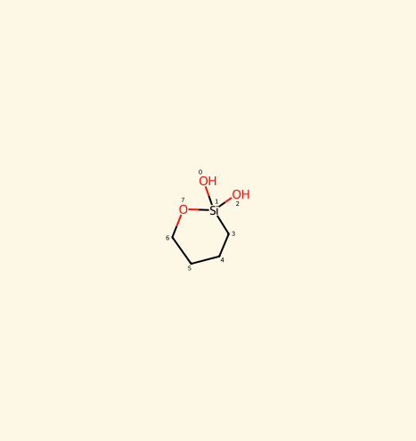 O[Si]1(O)CCCCO1